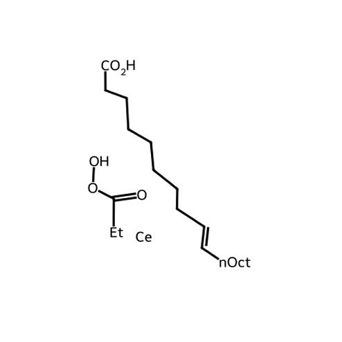 CCC(=O)OO.CCCCCCCCC=CCCCCCCCC(=O)O.[Ce]